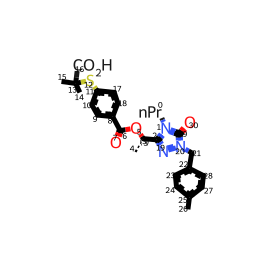 CCCn1c([C@H](C)OC(=O)c2ccc(SC(C)(C)C(=O)O)cc2)nn(Cc2ccc(C)cc2)c1=O